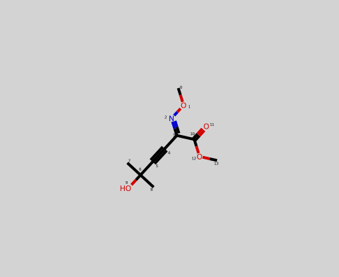 CON=C(C#CC(C)(C)O)C(=O)OC